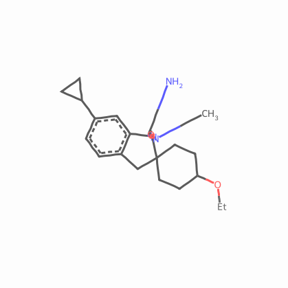 CCOC1CCC2(CC1)Cc1ccc(C3CC3)cc1C21N=C(N)N(C)O1